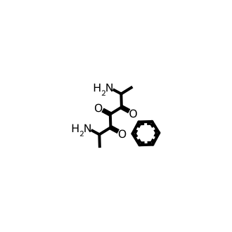 CC(N)C(=O)C(=O)C(=O)C(C)N.c1ccccc1